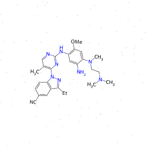 CCc1nn(-c2nc(Nc3cc(N)c(N(C)CCN(C)C)cc3OC)ncc2C)c2ccc(C#N)cc12